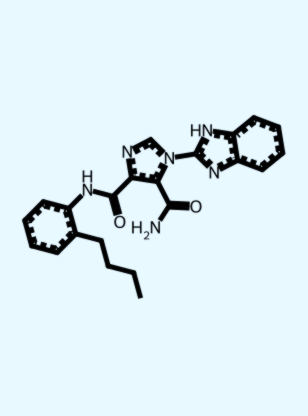 CCCCc1ccccc1NC(=O)c1ncn(-c2nc3ccccc3[nH]2)c1C(N)=O